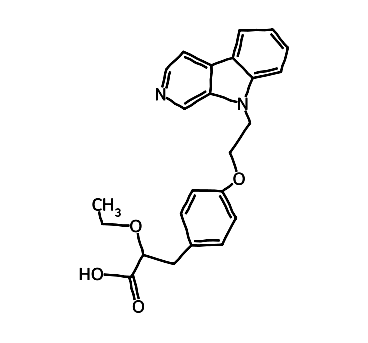 CCOC(Cc1ccc(OCCn2c3ccccc3c3ccncc32)cc1)C(=O)O